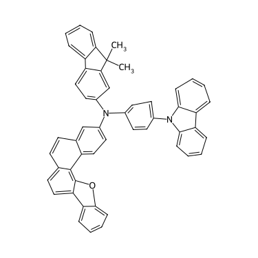 CC1(C)c2ccccc2-c2ccc(N(c3ccc(-n4c5ccccc5c5ccccc54)cc3)c3ccc4c(ccc5ccc6c7ccccc7oc6c54)c3)cc21